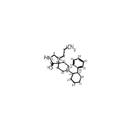 CCCN1CNC(=O)C12CCN(C1CCCCC1c1ccccc1)CC2